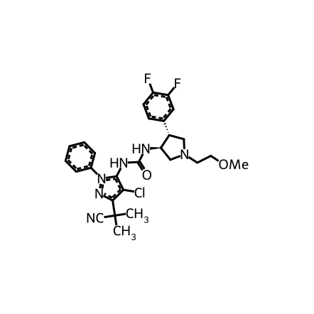 COCCN1C[C@@H](NC(=O)Nc2c(Cl)c(C(C)(C)C#N)nn2-c2ccccc2)[C@H](c2ccc(F)c(F)c2)C1